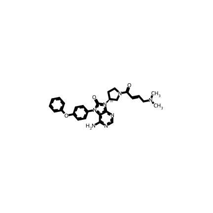 CN(C)CC=CC(=O)N1CC[C@H](n2c(=O)n(-c3ccc(Oc4ccccc4)cc3)c3c(N)ncnc32)C1